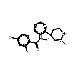 C[C@@H]1C[C@@](CNC(=O)c2ccc(Cl)cc2Cl)(c2ccccn2)CCN1